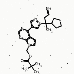 CC(C)(C)C(=O)OCn1ccc2c(-c3cnn(C(C)(CC=N)C4CCCC4)c3)ncnc21